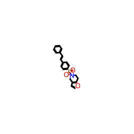 O=S(=O)(c1ccc(C=Cc2ccccc2)cc1)N1CCc2occc2C1